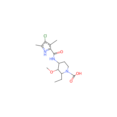 CCC1C(OC)C(NC(=O)c2[nH]c(C)c(Cl)c2C)CCN1C(=O)O